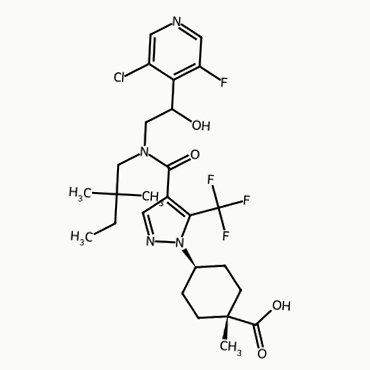 CCC(C)(C)CN(CC(O)c1c(F)cncc1Cl)C(=O)c1cnn([C@H]2CC[C@](C)(C(=O)O)CC2)c1C(F)(F)F